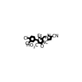 CCn1c(Cn2nc(C#N)cc2C#N)cc(=O)c(C(=O)O)c1-c1ccc(Cl)c(Cl)c1